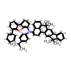 CC(C)c1ccc(N(c2ccc3c4c(cccc24)C(C)(C)c2cc4c(cc2-3)C(C)(C)c2ccccc2-4)c2cccc3c2oc2c(-c4ccccc4)cccc23)cc1